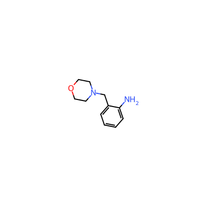 Nc1ccccc1CN1CCOCC1